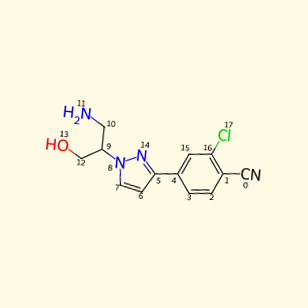 N#Cc1ccc(-c2ccn(C(CN)CO)n2)cc1Cl